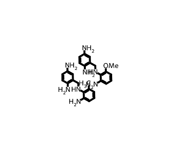 COc1cccc(N)c1NCc1cc(N)ccc1N.Cc1cccc(N)c1NCc1cc(N)ccc1N